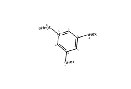 CCCCCCC[n+]1cc(CCCCCC)cc(CCCCCC)c1